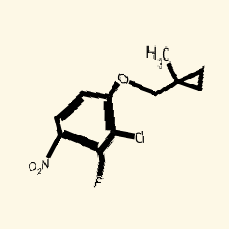 CC1(COc2ccc([N+](=O)[O-])c(F)c2Cl)CC1